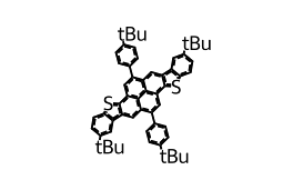 CC(C)(C)c1ccc(-c2cc3c4sc5ccc(C(C)(C)C)cc5c4cc4c(-c5ccc(C(C)(C)C)cc5)cc5c6sc7ccc(C(C)(C)C)cc7c6cc2c5c43)cc1